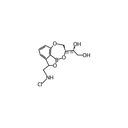 OC[C@H](O)[C@@H]1COc2cccc3c2B(OC3CNCl)O1